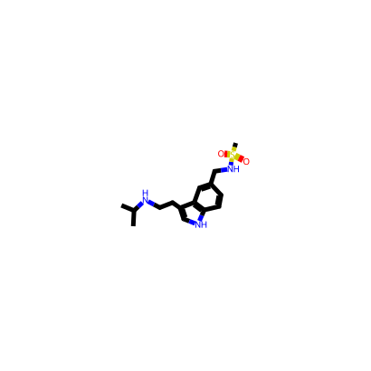 CC(C)NCCc1c[nH]c2ccc(CNS(C)(=O)=O)cc12